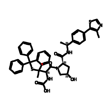 Cc1ncsc1-c1ccc([C@H](C)NC(=O)[C@@H]2C[C@@H](O)CN2C(=O)[C@@H](NC(=O)O)C(C)(C)SC(c2ccccc2)(c2ccccc2)c2ccccc2)cc1